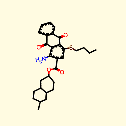 CCCCSc1cc(C(=O)OC2CCC3CC(C)CCC3C2)c(N)c2c1C(=O)c1ccccc1C2=O